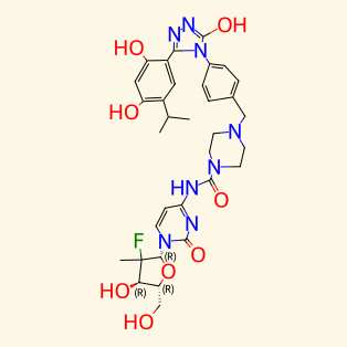 CC(C)c1cc(-c2nnc(O)n2-c2ccc(CN3CCN(C(=O)Nc4ccn([C@@H]5O[C@H](CO)[C@@H](O)C5(C)F)c(=O)n4)CC3)cc2)c(O)cc1O